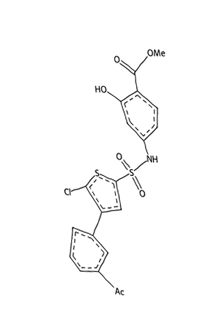 COC(=O)c1ccc(NS(=O)(=O)c2cc(-c3cccc(C(C)=O)c3)c(Cl)s2)cc1O